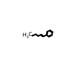 CCCCC=Cc1cc[c]cc1